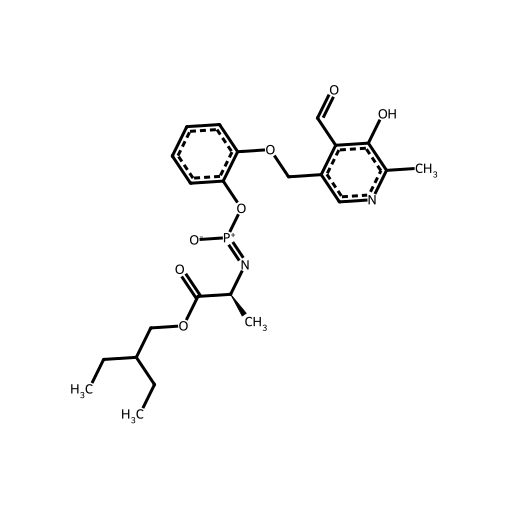 CCC(CC)COC(=O)[C@H](C)N=[P+]([O-])Oc1ccccc1OCc1cnc(C)c(O)c1C=O